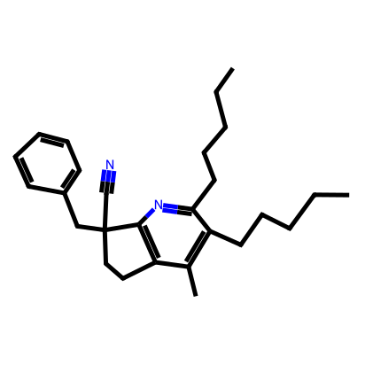 CCCCCc1nc2c(c(C)c1CCCCC)CCC2(C#N)Cc1ccccc1